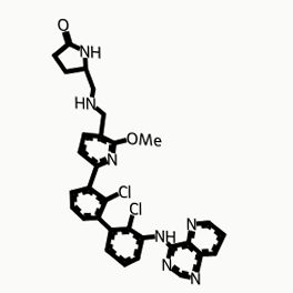 COc1nc(-c2cccc(-c3cccc(Nc4ncnc5cccnc45)c3Cl)c2Cl)ccc1CNCC1CCC(=O)N1